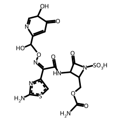 NC(=O)OCC1C(NC(=O)/C(=N\OC(O)C2=CC(=O)C(O)C=N2)c2csc(N)n2)C(=O)N1S(=O)(=O)O